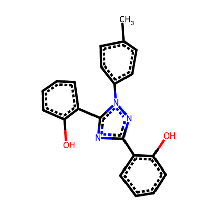 Cc1ccc(-n2nc(-c3ccccc3O)nc2-c2ccccc2O)cc1